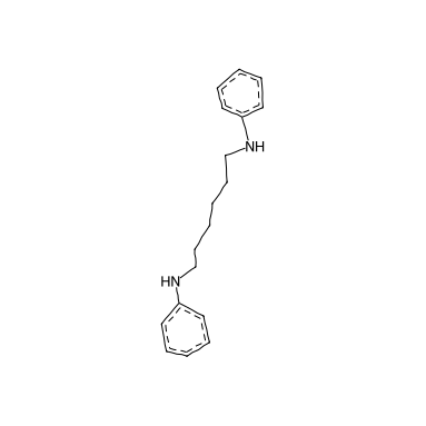 c1ccc(NCCCCCCNc2ccccc2)cc1